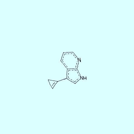 C1=C(c2c[nH]c3ncccc23)C1